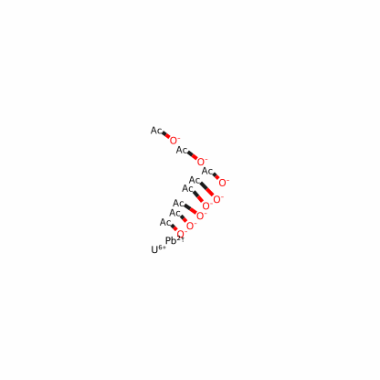 CC(=O)[O-].CC(=O)[O-].CC(=O)[O-].CC(=O)[O-].CC(=O)[O-].CC(=O)[O-].CC(=O)[O-].CC(=O)[O-].[Pb+2].[U+6]